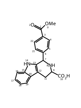 COC(=O)c1ccc(C2NC(C(=O)O)Cc3c2[nH]c2ccccc32)cc1